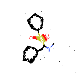 CN[C](c1ccccc1)S(=O)(=O)c1ccccc1